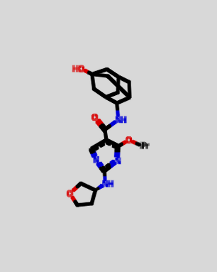 CC(C)Oc1nc(N[C@H]2CCOC2)ncc1C(=O)NC1C2CC3CC1CC(O)(C3)C2